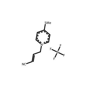 CSc1cc[n+](CC=CC#N)cc1.F[B-](F)(F)F